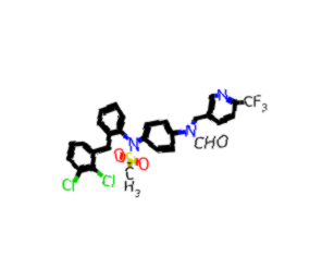 CS(=O)(=O)N(c1ccc(N(C=O)Cc2ccc(C(F)(F)F)nc2)cc1)c1ccccc1Cc1cccc(Cl)c1Cl